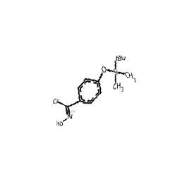 CC(C)(C)[Si](C)(C)Oc1ccc(/C(Cl)=N/O)cc1